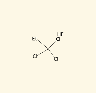 CCC(Cl)(Cl)Cl.F